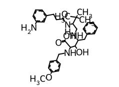 COc1ccc(CNC(C(=O)O)C(O)C(Cc2ccccc2)NCC(NC(=O)CCc2cccc(N)c2)C(C)(C)C)cc1